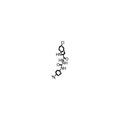 CN(C)c1ccc(NC(=O)NNC(=O)c2cc3cc(Cl)ccc3[nH]2)cc1